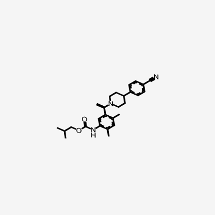 C=C(c1cc(NC(=O)OCC(C)C)c(C)cc1C)N1CCC(c2ccc(C#N)cc2)CC1